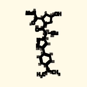 CNC(=O)C1CC(O)CN1C(=O)[C@@H](n1cc(-c2ccc(N(C)C)cc2)nn1)C(C)(C)C